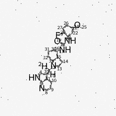 [2H]C([2H])(c1c[nH]c2ncccc12)n1ccc2c(NC(=O)Nc3cc(OC)ccc3F)cccc21